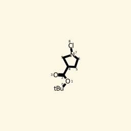 CC(C)(C)OC(=O)C1CCN(Cl)C1